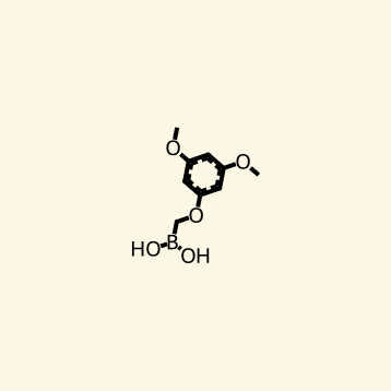 COc1cc(OC)cc(OCB(O)O)c1